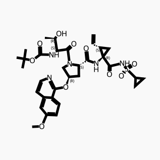 C=C[C@@H]1C[C@]1(NC(=O)[C@@H]1C[C@@H](Oc2nccc3cc(OC)ccc23)CN1C(=O)[C@@H](NC(=O)OC(C)(C)C)[C@@H](C)O)C(=O)NS(=O)(=O)C1CC1